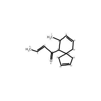 C/C=C/C(=O)C1C(C)C=CCC12CC=CC2